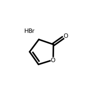 Br.O=C1CC=CO1